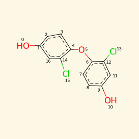 Oc1ccc(Oc2ccc(O)cc2Cl)c(Cl)c1